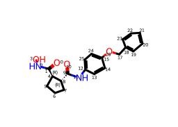 O=C(NO)[C@@H]1CCC[C@H]1C(=O)Nc1ccc(OCc2ccccc2)cc1